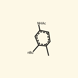 CCCCc1cc(NC(C)=O)ccc1C